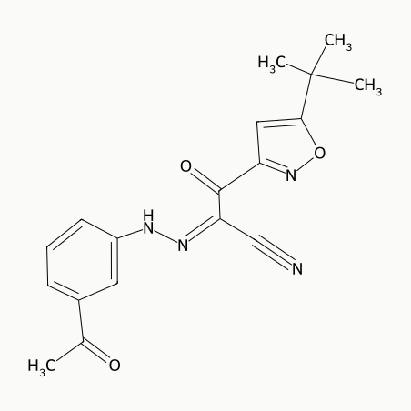 CC(=O)c1cccc(NN=C(C#N)C(=O)c2cc(C(C)(C)C)on2)c1